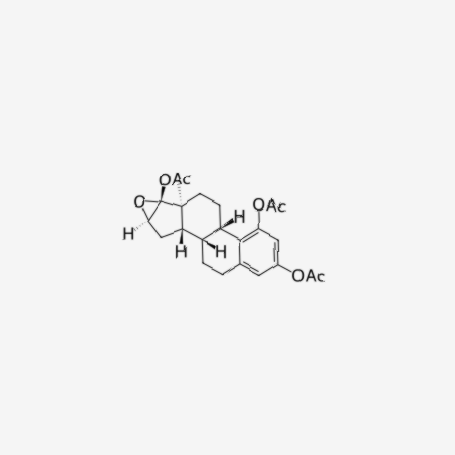 CC(=O)Oc1cc2c(c(OC(C)=O)c1)[C@H]1CC[C@@]3(C)[C@@H](C[C@H]4O[C@@]43OC(C)=O)[C@H]1CC2